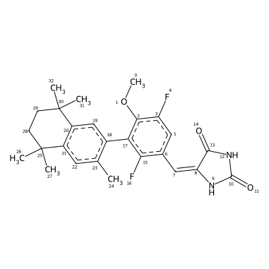 COc1c(F)cc(C=C2NC(=O)NC2=O)c(F)c1-c1cc2c(cc1C)C(C)(C)CCC2(C)C